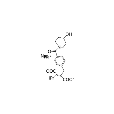 CC(C)C(C(=O)[O-])=C(Cc1ccc(C(=O)N2CCC(O)CC2)cc1)C(=O)[O-].[Na+].[Na+]